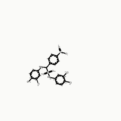 O=[N+]([O-])c1ccc(C(Nc2ccc(Cl)c(Cl)c2)S(=O)(=O)Nc2ccc(Cl)c(Cl)c2)cc1